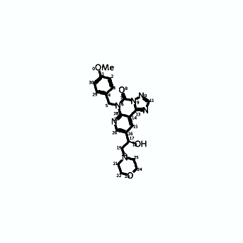 COc1ccc(Cn2c(=O)n3ncnc3c3cc([C@@H](O)CN4CCOCC4)cnc32)cc1